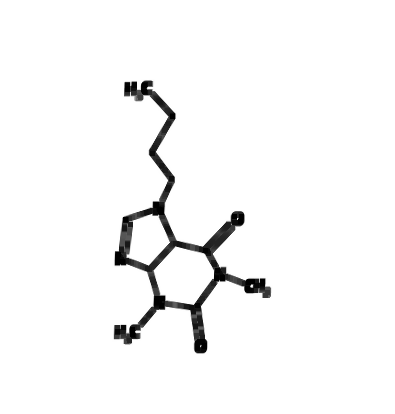 CCCCN1C=NC2C1C(=O)N(C)C(=O)N2C